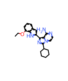 CCOc1cccc2cc(-c3nc(C4CCCCC4)n4ccnc(N)c34)[nH]c12